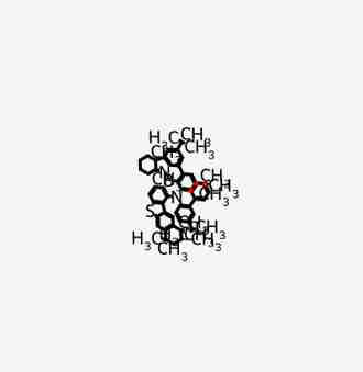 CC(C)(C)c1ccc(N2c3cc(C(C)(C)C)cc4c3B(c3ccc5sc6cc7c(cc6c5c32)C(C)(C)CCC7(C)C)N2c3c-4cc(C(C)(C)C)cc3C3(C)CCCCC23C)c(-c2ccccc2)c1